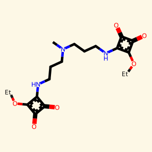 CCOc1c(NCCCN(C)CCCNc2c(OCC)c(=O)c2=O)c(=O)c1=O